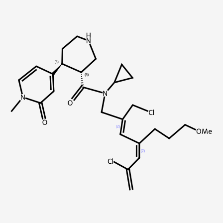 C=C(Cl)/C=C(\C=C(/CCl)CN(C(=O)[C@H]1CNCC[C@@H]1c1ccn(C)c(=O)c1)C1CC1)CCCOC